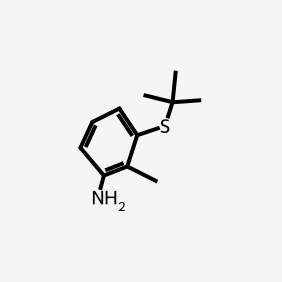 Cc1c(N)cccc1SC(C)(C)C